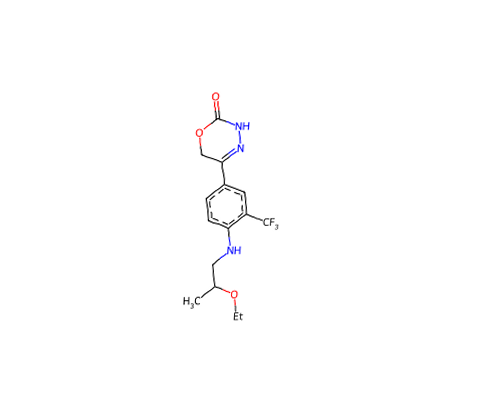 CCOC(C)CNc1ccc(C2=NNC(=O)OC2)cc1C(F)(F)F